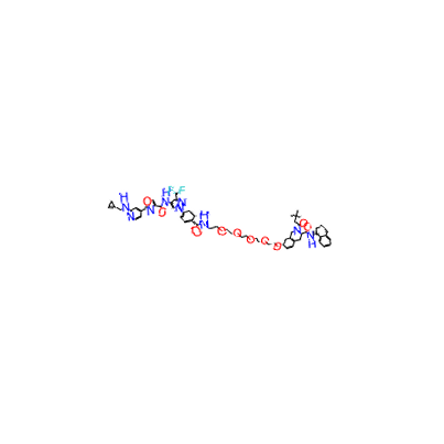 CC(C)(C)CC(=O)N1Cc2cc(OCCOCCOCCOCCOCCNC(=O)c3ccc(-n4cc(NC(=O)c5coc(-c6ccnc(NCC7CC7)c6)n5)c(C(F)F)n4)cc3)ccc2CC1C(=O)N[C@@H]1CCCc2ccccc21